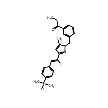 COC(=O)c1cccc(Cn2nc(C(F)=Cc3ccc([Si](C)(C)C)cc3)cc2C)c1